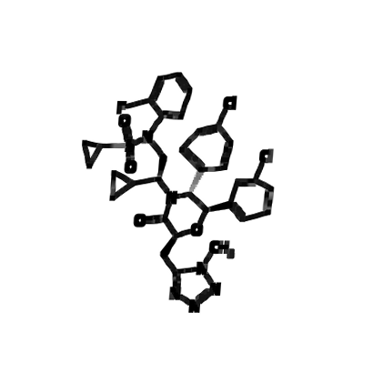 Cn1nnnc1C[C@@H]1O[C@H](c2cccc(Cl)c2)[C@@H](c2ccc(Cl)cc2)N([C@H](CN(c2ccccc2F)S(=O)(=O)C2CC2)C2CC2)C1=O